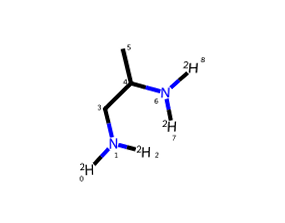 [2H]N([2H])CC(C)N([2H])[2H]